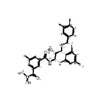 CCCN(CCC)C(=O)c1cc(C)cc(C(=O)N[C@@H](Cc2cc(F)cc(F)c2)[C@H](O)CNCc2ccc(C)c(C)c2)c1